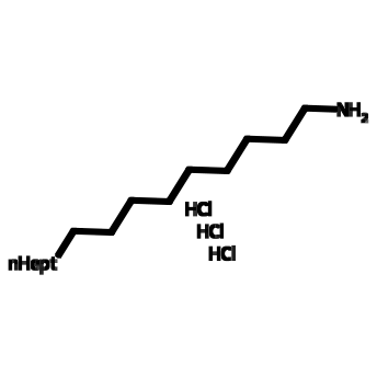 CCCCCCCCCCCCCCCCN.Cl.Cl.Cl